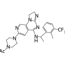 CC(=O)N1CCN(c2cc3c(cn2)N2CCN=C2N=C3NC(C)c2cccc(C(F)(F)F)c2C)CC1